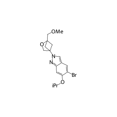 COCC12CC(n3cc4cc(Br)c(OC(C)C)cc4n3)(CO1)C2